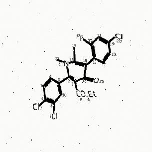 CCOC(=O)c1c(-c2ccc(Cl)c(Cl)c2)n(C)c(C)c(-c2ccc(Cl)cc2F)c1=O